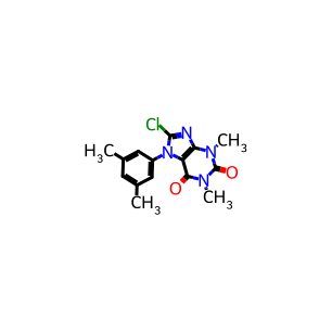 Cc1cc(C)cc(-n2c(Cl)nc3c2c(=O)n(C)c(=O)n3C)c1